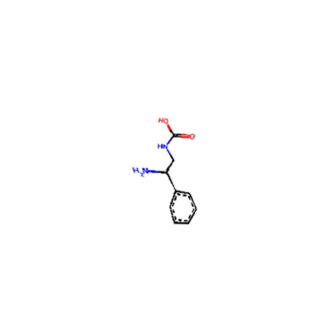 NC(CNC(=O)O)c1ccccc1